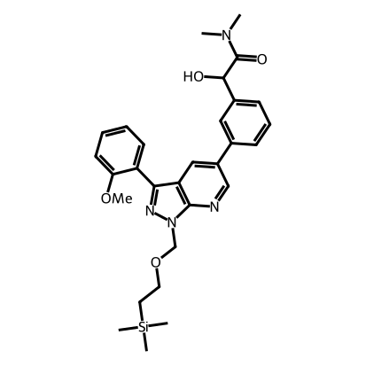 COc1ccccc1-c1nn(COCC[Si](C)(C)C)c2ncc(-c3cccc(C(O)C(=O)N(C)C)c3)cc12